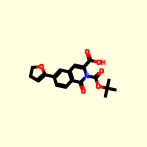 CC(C)(C)OC(=O)n1c(C(=O)O)cc2cc(C3=CCCO3)ccc2c1=O